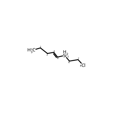 CCCC=C[SiH2]CCCl